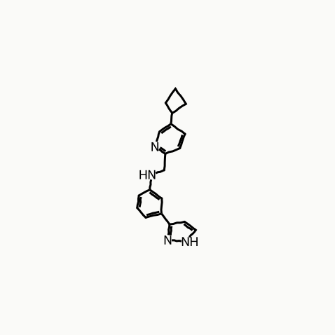 c1cc(NCc2ccc(C3CCC3)cn2)cc(-c2cc[nH]n2)c1